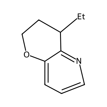 CCC1CCOc2cccnc21